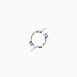 CCCCC[C@H]1C/C=C2\C(=O)C=C[C@@H]2C/C=C\CCCC(O)C(C)(C)O[C@@H](CCCCC)C/C=C2/C(=O)C=C[C@@H]2C/C=C\CCCC(=O)C(C)(C)O1